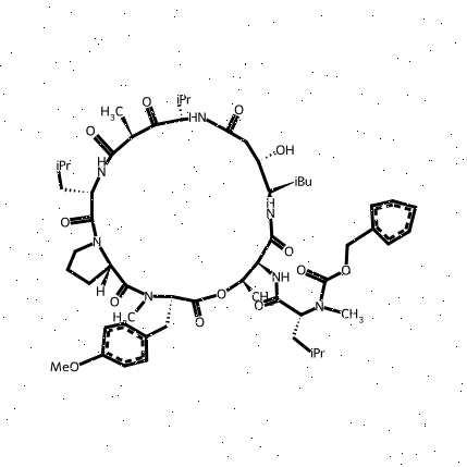 CC[C@H](C)[C@H]1NC(=O)[C@@H](NC(=O)[C@@H](CC(C)C)N(C)C(=O)OCc2ccccc2)[C@@H](C)OC(=O)[C@H](Cc2ccc(OC)cc2)N(C)C(=O)[C@@H]2CCCN2C(=O)[C@H](CC(C)C)NC(=O)[C@@H](C)C(=O)[C@H](C(C)C)NC(=O)C[C@@H]1O